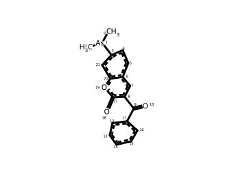 C[As](C)c1ccc2cc(C(=O)c3ccccc3)c(=O)oc2c1